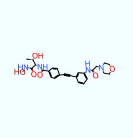 C[C@@H](O)[C@H](NC(=O)c1ccc(C#Cc2cccc(NC(=O)CN3CCOCC3)c2)cc1)C(=O)NO